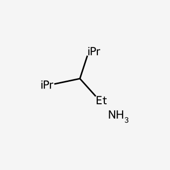 CCC(C(C)C)C(C)C.N